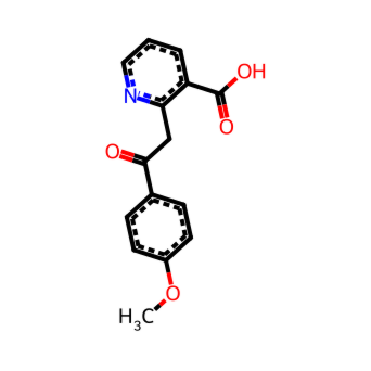 COc1ccc(C(=O)Cc2ncccc2C(=O)O)cc1